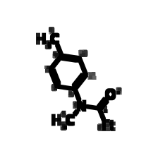 [CH2]CC(=O)N(C)c1ccc(C)cc1